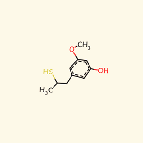 COc1cc(O)cc(CC(C)S)c1